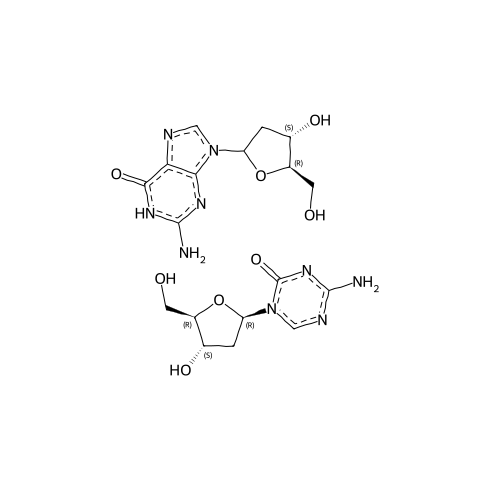 Nc1nc2c(ncn2C2C[C@H](O)[C@@H](CO)O2)c(=O)[nH]1.Nc1ncn([C@H]2C[C@H](O)[C@@H](CO)O2)c(=O)n1